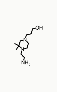 CC1(C)CN(CCCO)CCN1CCN